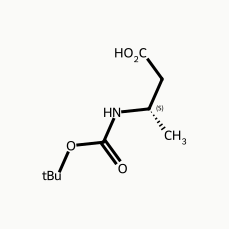 C[C@@H](CC(=O)O)NC(=O)OC(C)(C)C